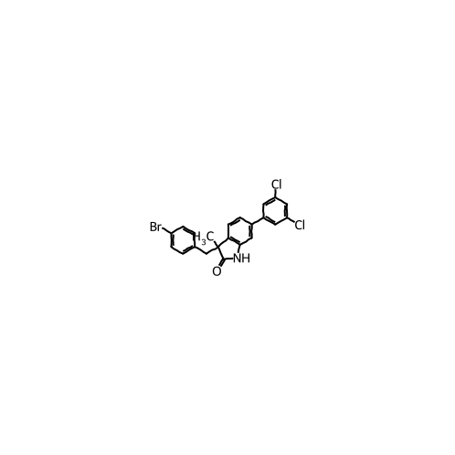 CC1(Cc2ccc(Br)cc2)C(=O)Nc2cc(-c3cc(Cl)cc(Cl)c3)ccc21